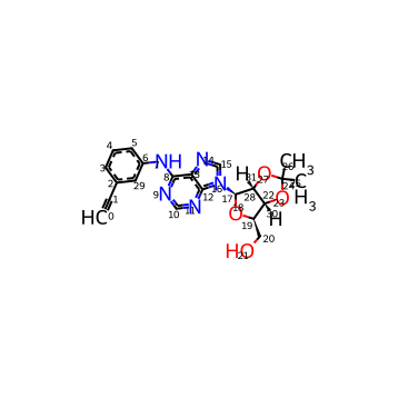 C#Cc1cccc(Nc2ncnc3c2ncn3[C@@H]2O[C@H](CO)[C@H]3OC(C)(C)O[C@H]32)c1